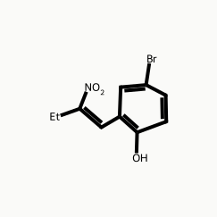 CCC(=Cc1cc(Br)ccc1O)[N+](=O)[O-]